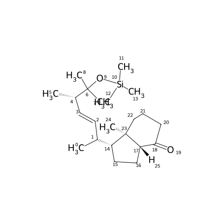 CC(/C=C/[C@H](C)C(C)(C)O[Si](C)(C)C)[C@H]1CC[C@H]2C(=O)CCC[C@]12C